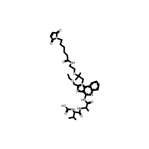 CCOCc1nc2c(NC(=O)C(C)NC(=O)C(NC(=O)O)C(C)C)nc3ccccc3c2n1CC(C)(C)OCCNC(=O)CCCCCN1C(=O)C=CC1=O